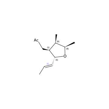 C/C=C/[C@H]1O[C@H](C)[C@H](C)[C@@H]1CC(C)=O